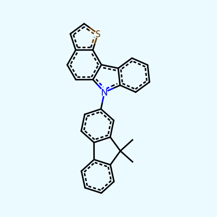 CC1(C)c2ccccc2-c2ccc(-n3c4ccccc4c4c5sccc5ccc43)cc21